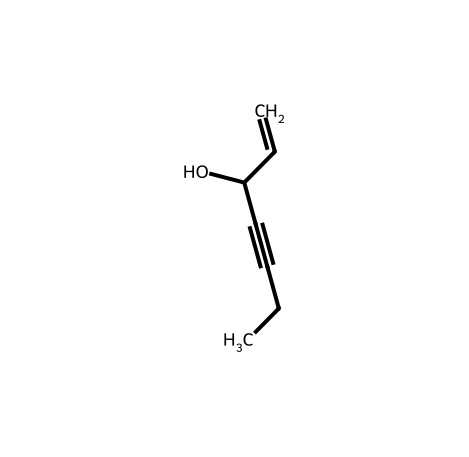 C=CC(O)C#CCC